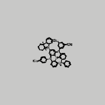 CC(C)(C)c1ccc(N2c3cc(N4c5ccccc5C5(C)CCCCC45C)cc4c3B3c5c2cccc5[Si](C)(c2ccccc2)c2cccc(c23)N4c2cc(C(C)(C)C)cc(C(C)(C)C)c2)cc1